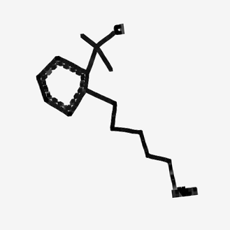 CCCCCCCCCCCCCCc1ccccc1C(C)(C)Cl